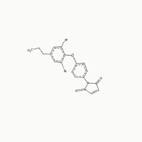 CCCc1cc(Br)c(Oc2ccc(N3C(=O)C=CC3=O)cc2)c(Br)c1